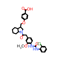 COc1cc(CC(=O)N2CC(COc3ccc(C(=O)O)cc3)C3CCCCC32)ccc1NC(=O)Nc1ccccc1Cl